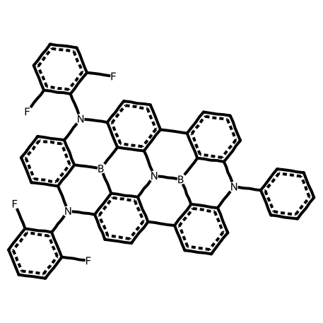 Fc1cccc(F)c1N1c2cccc3c2B2c4c1ccc1c4N4B5c6c-1cccc6N(c1ccccc1)c1cccc(c15)-c1ccc(c2c14)N3c1c(F)cccc1F